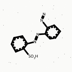 [N]=Nc1cc[c]cc1/N=N/c1ccccc1S(=O)(=O)O